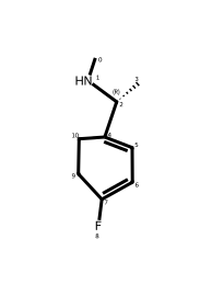 CN[C@H](C)C1=CC=C(F)CC1